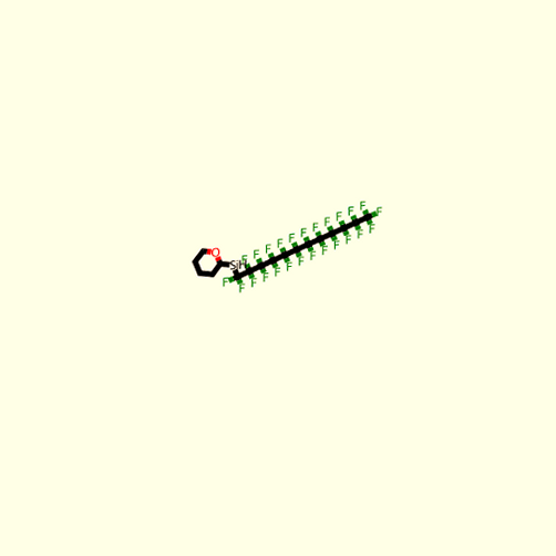 FC(F)(F)C(F)(F)C(F)(F)C(F)(F)C(F)(F)C(F)(F)C(F)(F)C(F)(F)C(F)(F)C(F)(F)C(F)(F)C(F)(F)[SiH2]C1CCCCO1